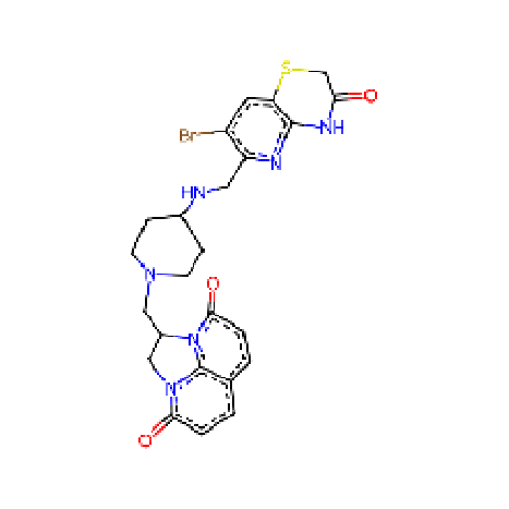 O=C1CSc2cc(Br)c(CNC3CCN(CC4Cn5c(=O)ccc6ccc(=O)n4c65)CC3)nc2N1